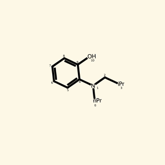 CCCN(CC(C)C)c1ccccc1O